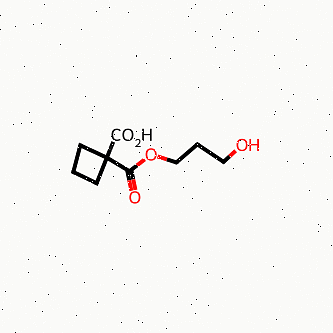 O=C(O)C1(C(=O)OCCCO)CCC1